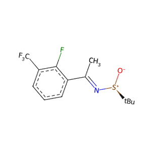 C/C(=N\[S@@+]([O-])C(C)(C)C)c1cccc(C(F)(F)F)c1F